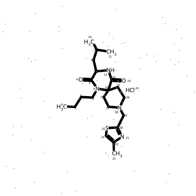 CCCCN1C(=O)C(CC(C)C)NC(=O)C12CCN(Cc1nc(C)cs1)CC2.Cl